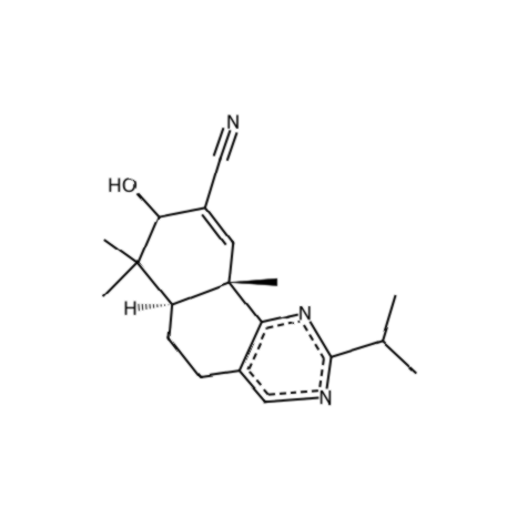 CC(C)c1ncc2c(n1)[C@@]1(C)C=C(C#N)C(O)C(C)(C)[C@@H]1CC2